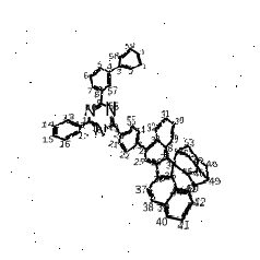 c1ccc(-c2cccc(-c3nc(-c4ccccc4)nc(-c4ccc(-c5cc6c(c7ccccc57)C5(c7c-6ccc6ccccc76)C6CC7CC(C6)CC5C7)cc4)n3)c2)cc1